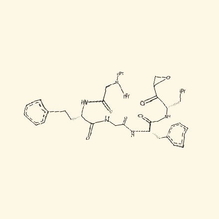 CCCN(CCC)CC(=O)N[C@@H](CCc1ccccc1)C(=O)NCC(=O)N[C@@H](Cc1ccccc1)C(=O)N[C@@H](CC(C)C)C(=O)C1CO1